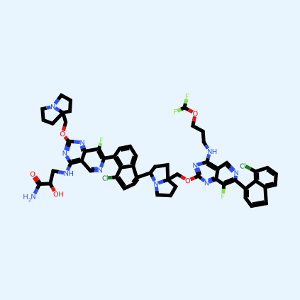 NC(=O)C(O)CNc1nc(OCC23CCCN2CCC3)nc2c(F)c(-c3cccc4c(C5CCC6(COc7nc(NCCCOC(F)F)c8cnc(-c9cccc%10cccc(Cl)c9%10)c(F)c8n7)CCCN56)ccc(Cl)c34)ncc12